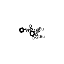 CC(C)(C)[Si](C)(C)O[C@@H]1C(=O)C=C[C@]2(CC(=O)N2OCc2ccccc2)[C@@H]1O[Si](C)(C)C(C)(C)C